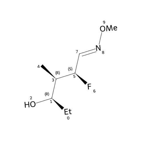 CC[C@@H](O)[C@@H](C)[C@H](F)C=NOC